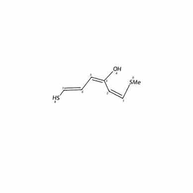 CS\C=C/C(O)=C\C=C\S